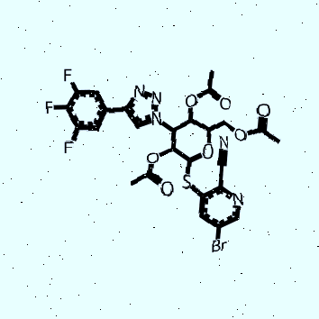 CC(=O)OCC1OC(Sc2cc(Br)cnc2C#N)C(OC(C)=O)C(n2cc(-c3cc(F)c(F)c(F)c3)nn2)C1OC(C)=O